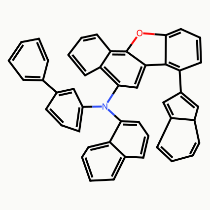 C1=CC2=CC(c3cccc4oc5c6ccccc6c(N(c6cccc(-c7ccccc7)c6)c6cccc7ccccc67)cc5c34)=CC2C=C1